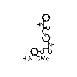 COc1c(N)cccc1OCC(=O)N(C)C1CCN(CC(=O)Nc2ccccc2)CC1